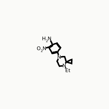 CCN1CCN(c2ccc(N)c([N+](=O)[O-])c2)CC12CC2